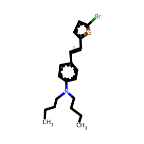 CCCCN(CCCC)c1ccc(/C=C/c2ccc(Br)s2)cc1